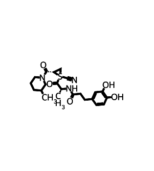 CC1CCCN(C(=O)[C@@H]2CS2(C#N)C(=O)[C@H](C)NC(=O)CCc2ccc(O)c(O)c2)C1